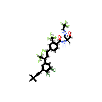 CC(C)(C)C#Cc1cc(C(/C=C(\F)c2ccc(C(=O)N[C@@](C)(C=O)CNCC(F)(F)F)c(C(F)(F)F)c2)C(F)(F)F)cc(Cl)c1Cl